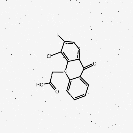 O=C(O)Cn1c2ccccc2c(=O)c2ccc(I)c(Cl)c21